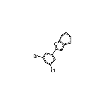 Clc1cc(Br)cc(-c2cc3ccccc3o2)c1